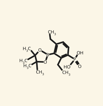 CCc1ccc(P(=O)(O)O)c(CC)c1B1OC(C)(C)C(C)(C)O1